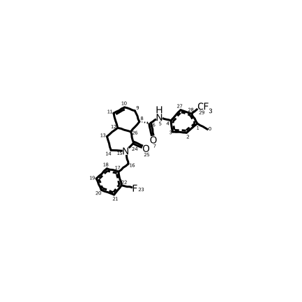 Cc1ccc(NC(=O)[C@H]2CC=CC3CCN(Cc4ccccc4F)C(=O)C32)cc1C(F)(F)F